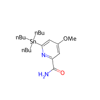 CCC[CH2][Sn]([CH2]CCC)([CH2]CCC)[c]1cc(OC)cc(C(N)=O)n1